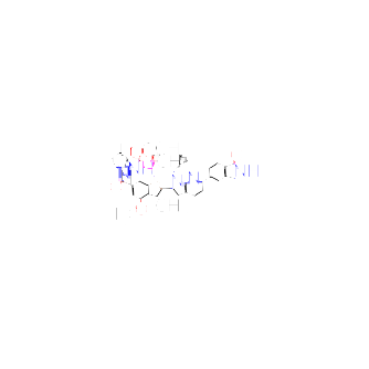 COc1cc(C(=O)N2CC3CCC2[C@@H]3NC(=O)OC(C)(C)C)cc2sc(-c3cc4ccc(-c5ccc6c(c5)CNC6=O)nc4n3CC3CC3)c(C)c12